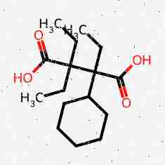 CCC(CC)(C(=O)O)C(CC)(C(=O)O)C1CCCCC1